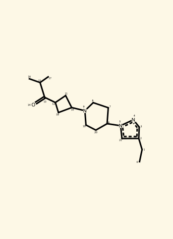 CCc1cnn(C2CCN(C3CC(C(=O)C(C)C)C3)CC2)c1